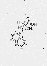 CC(C)(NCc1ccnc2ccccc12)C(=O)O